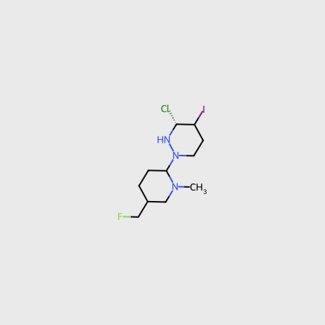 CN1CC(CF)CCC1N1CCC(I)[C@@H](Cl)N1